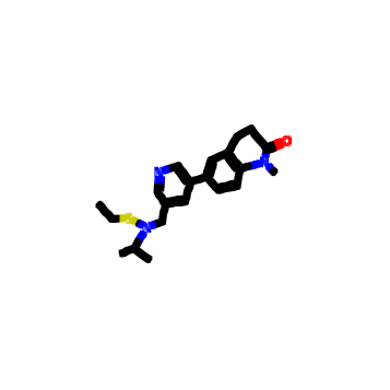 CCSN(Cc1cncc(-c2ccc3c(c2)CCC(=O)N3C)c1)C(C)C